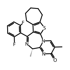 Cc1cn2c(nc1=O)[C@H](C)N=C(c1c(F)cccc1F)c1c-2sc2c1CCCCC2